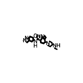 CCNC1CCN(c2ccc(C(=O)Nc3cc4cn(C)nc4cc3OC)c3[nH]ccc23)CC1